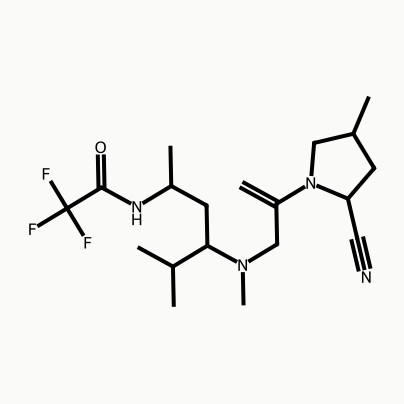 C=C(CN(C)C(CC(C)NC(=O)C(F)(F)F)C(C)C)N1CC(C)CC1C#N